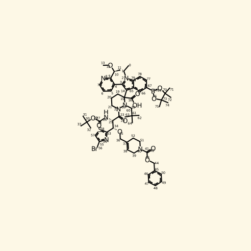 CCn1c(-c2cccnc2[C@H](C)OC)c(C2(C(=O)O)CCCN(C(=O)[C@@H](NC(=O)OC(C)(C)C)[C@H](OCC3=CCN(C(=O)OCc4ccccc4)CC3)c3nc(Br)cs3)N2CC(C)(C)C)c2cc(B3OC(C)(C)C(C)(C)O3)ccc21